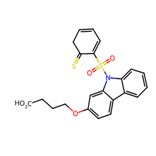 O=C(O)CCCOc1ccc2c3ccccc3n(S(=O)(=O)C3=CC=CCC3=S)c2c1